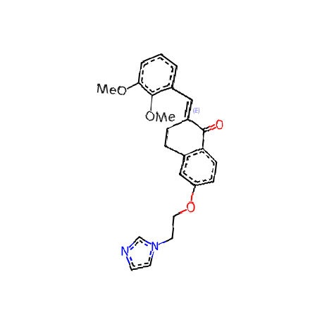 COc1cccc(/C=C2\CCc3cc(OCCn4ccnc4)ccc3C2=O)c1OC